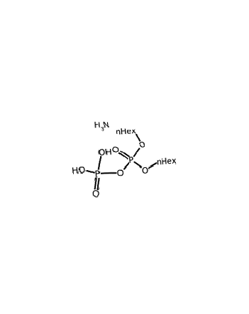 CCCCCCOP(=O)(OCCCCCC)OP(=O)(O)O.N